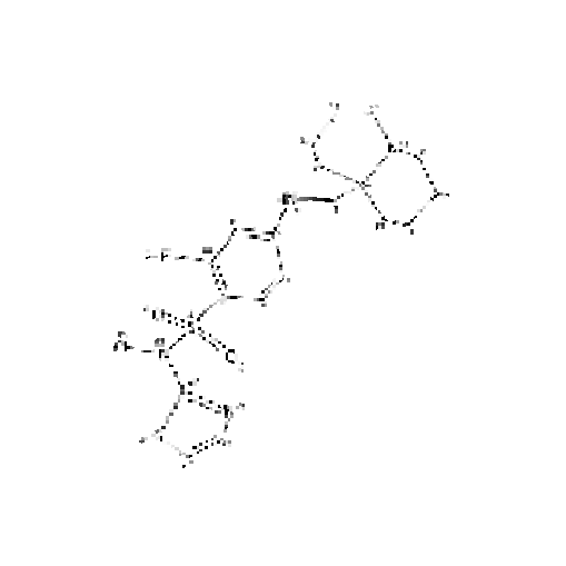 O=S(=O)(c1ccc(NCC23CCCCN2CCCC3)cc1F)N(Cl)c1nccs1